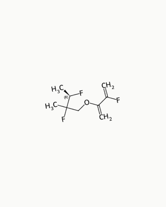 C=C(F)C(=C)OCC(C)(F)[C@@H](C)F